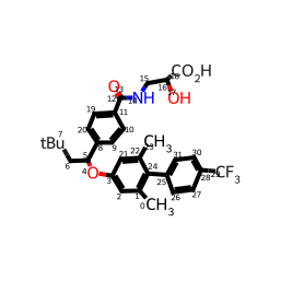 Cc1cc(OC(CC(C)(C)C)c2ccc(C(=O)NCC(O)C(=O)O)cc2)cc(C)c1-c1ccc(C(F)(F)F)cc1